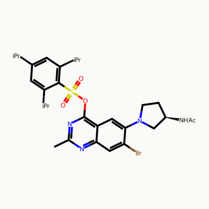 CC(=O)N[C@@H]1CCN(c2cc3c(OS(=O)(=O)c4c(C(C)C)cc(C(C)C)cc4C(C)C)nc(C)nc3cc2Br)C1